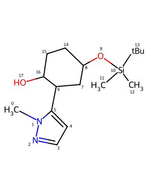 Cn1nccc1C1CC(O[Si](C)(C)C(C)(C)C)CCC1O